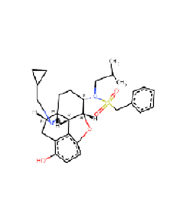 CC(C)CN([C@H]1CC[C@H]2[C@H]3Cc4c(O)ccc5c4[C@@]2(CCN3CC2CC2)[C@H]1O5)S(=O)(=O)Cc1ccccc1